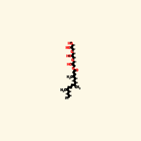 C/C(=C\CC(=O)OCC(O)COCC(O)COCC(O)CO)CCCC(C)CCCC(C)CCCC(C)C